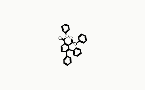 O=C(Oc1ccccc1)c1ccc(-c2ccccc2)c(-c2ccccc2)c1C(=O)Oc1ccccc1